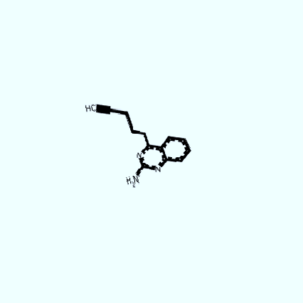 C#CCCCc1nc(N)nc2ccccc12